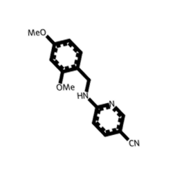 COc1ccc(CNc2ccc(C#N)cn2)c(OC)c1